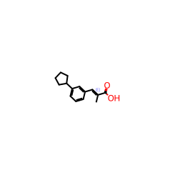 C/C(=C\c1cccc(C2CCCC2)c1)C(=O)O